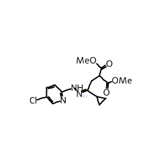 COC(=O)C(C/C(=N\Nc1ccc(Cl)cn1)C1CC1)C(=O)OC